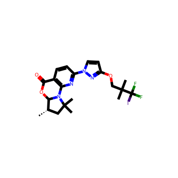 C[C@H]1CC(C)(C)N2c3nc(-n4ccc(OCC(C)(C)C(F)(F)I)n4)ccc3C(=O)OC12